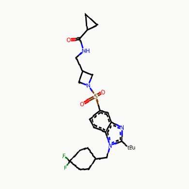 CC(C)(C)c1nc2cc(S(=O)(=O)N3CC(CNC(=O)C4CC4)C3)ccc2n1CC1CCC(F)(F)CC1